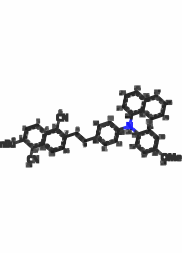 CCCCc1ccc2c(C#N)c(C=Cc3ccc(N(c4ccc(OC)cc4)c4cccc5ccccc45)cc3)ccc2c1C#N